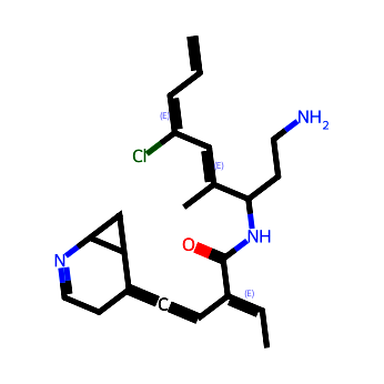 C=C/C=C(Cl)\C=C(/C)C(CCN)NC(=O)/C(C=C=C1CC=NC2CC12)=C/C